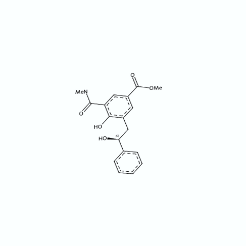 CNC(=O)c1cc(C(=O)OC)cc(C[C@H](O)c2ccccc2)c1O